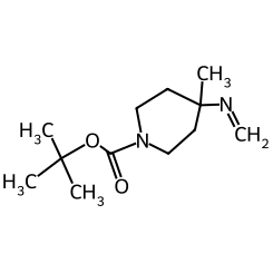 C=NC1(C)CCN(C(=O)OC(C)(C)C)CC1